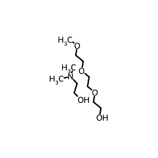 CN(C)CCO.COCCOCCOCCO